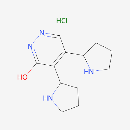 Cl.Oc1nncc(C2CCCN2)c1C1CCCN1